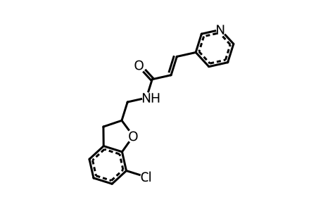 O=C(C=Cc1cccnc1)NCC1Cc2cccc(Cl)c2O1